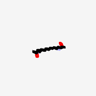 CC(=O)/C=C/CCCCCCCC/C=C/C(C)=O